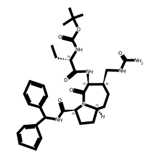 CC[C@H](NC(=O)OC(C)(C)C)C(=O)N[C@@H]1C(=O)N2[C@@H](CC[C@@H]1CNC(N)=O)CC[C@H]2C(=O)NC(c1ccccc1)c1ccccc1